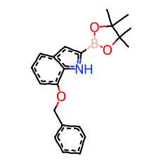 CC1(C)OB(c2cc3cccc(OCc4ccccc4)c3[nH]2)OC1(C)C